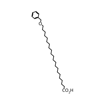 O=C(O)CCCCCCCCCCCCCCCCCCCCCOCc1ccccc1